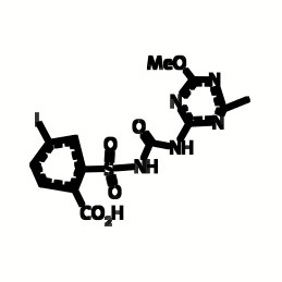 COc1nc(C)nc(NC(=O)NS(=O)(=O)c2cc(I)ccc2C(=O)O)n1